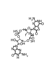 C=C1[C@@H]2C(I)[C@@H](COP(=O)(S)OC3[C@@H](COP1(=O)S)O[C@@H](n1cnc4c(=O)[nH]c(N)nc41)[C@H]3O)O[C@H]2n1c(=O)sc2c(=O)[nH]c(N)nc21